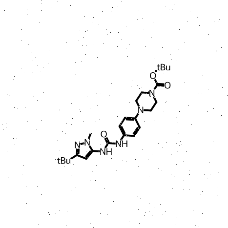 Cn1nc(C(C)(C)C)cc1NC(=O)Nc1ccc(N2CCN(C(=O)OC(C)(C)C)CC2)cc1